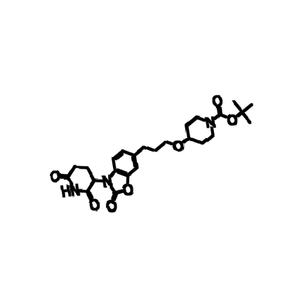 CC(C)(C)OC(=O)N1CCC(OCCCc2ccc3c(c2)oc(=O)n3C2CCC(=O)NC2=O)CC1